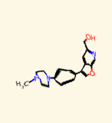 CN1CCN(c2ccc(-c3coc4cnc(CO)cc34)cc2)CC1